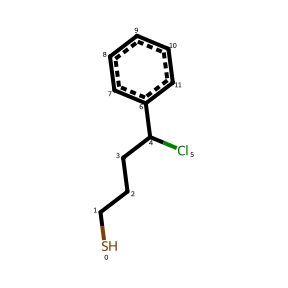 SCCCC(Cl)c1ccccc1